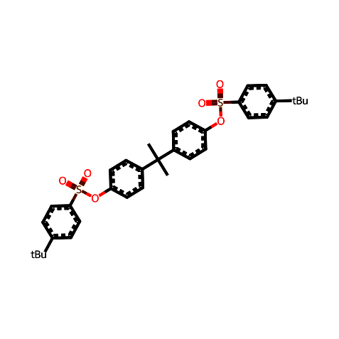 CC(C)(C)c1ccc(S(=O)(=O)Oc2ccc(C(C)(C)c3ccc(OS(=O)(=O)c4ccc(C(C)(C)C)cc4)cc3)cc2)cc1